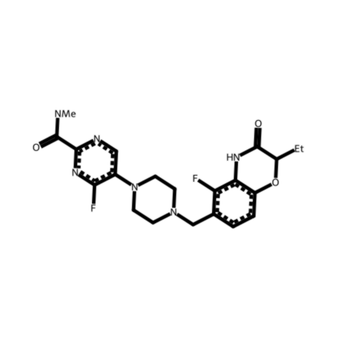 CCC1Oc2ccc(CN3CCN(c4cnc(C(=O)NC)nc4F)CC3)c(F)c2NC1=O